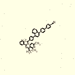 C/C=C(/N=C(\N=C(/C)c1ccc(-c2ccc(-c3ccc(-c4ccc(C#N)cc4)cc3)c3ccccc23)cc1)c1ccccc1)c1ccc(C)nc1C